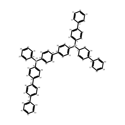 C1=CC(N(c2ccc(-c3ccccc3)cc2)c2ccc(-c3ccc(N(c4ccccc4)c4ccc(-c5ccc(-c6ccccc6)cc5)cc4)cc3)cc2)CC=C1c1ccccc1